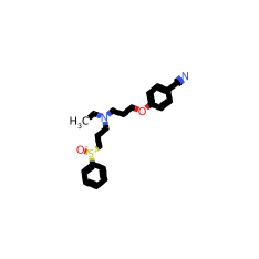 CCN(CCCOc1ccc(C#N)cc1)CCC[S+]([O-])c1ccccc1